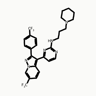 FC(F)(F)c1ccc(-c2nn3cc(C(F)(F)F)ccc3c2-c2ccnc(NCCCN3CCCCC3)n2)cc1